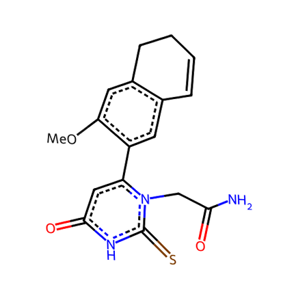 COc1cc2c(cc1-c1cc(=O)[nH]c(=S)n1CC(N)=O)C=CCC2